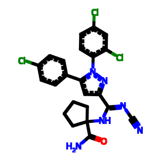 N#CN=C(NC1(C(N)=O)CCCC1)c1cc(-c2ccc(Cl)cc2)n(-c2ccc(Cl)cc2Cl)n1